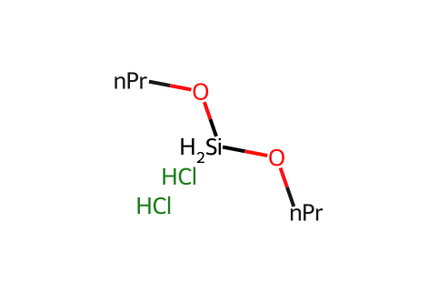 CCCO[SiH2]OCCC.Cl.Cl